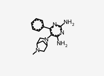 CN1CC2CC1CN2c1c(N)nc(N)nc1-c1ccccc1